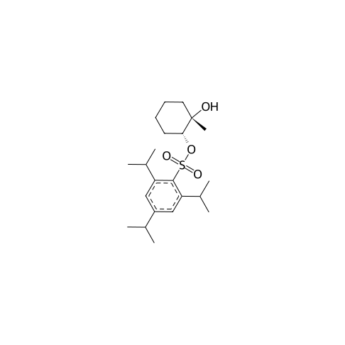 CC(C)c1cc(C(C)C)c(S(=O)(=O)O[C@@H]2CCCC[C@]2(C)O)c(C(C)C)c1